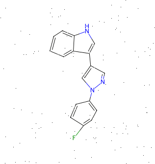 Fc1ccc(-n2cc(-c3c[nH]c4ccccc34)cn2)cc1